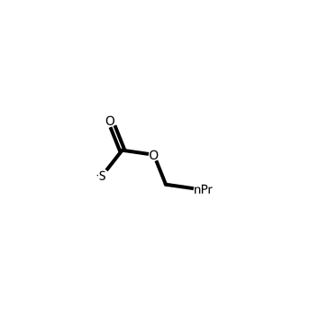 CCCCOC(=O)[S]